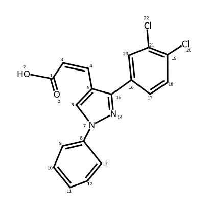 O=C(O)/C=C\c1cn(-c2ccccc2)nc1-c1ccc(Cl)c(Cl)c1